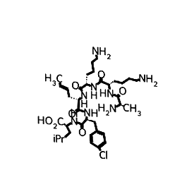 C/C=C/C[C@H](NC(=O)[C@H](CCCCN)NC(=O)[C@H](CCCCN)NC(=O)[C@H](C)N)C(=O)N[C@@H](Cc1ccc(Cl)cc1)C(=O)N[C@@H](CC(C)C)C(=O)O